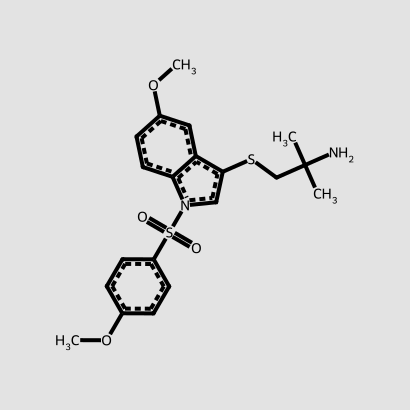 COc1ccc(S(=O)(=O)n2cc(SCC(C)(C)N)c3cc(OC)ccc32)cc1